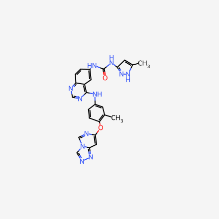 Cc1cc(NC(=O)Nc2ccc3ncnc(Nc4ccc(Oc5cc6nncn6cn5)c(C)c4)c3c2)n[nH]1